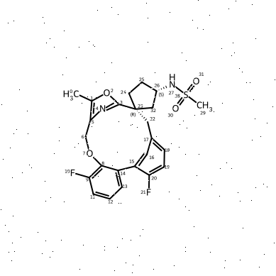 Cc1oc2nc1COc1c(F)cccc1-c1cc(ccc1F)C[C@@]21CC[C@H](NS(C)(=O)=O)C1